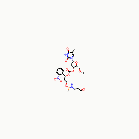 [2H]OC[C@H]1O[C@@H](n2cc(C)c(=O)[nH]c2=O)CC1OC(=O)OC(CCOP(C)NCCC=O)c1ccccc1[N+](=O)[O-]